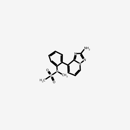 CN(c1ccccc1-c1cccn2nc(N)nc12)S(C)(=O)=O